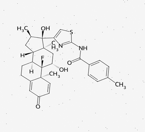 Cc1ccc(C(=O)Nc2nc([C@@]3(O)[C@H](C)C[C@H]4[C@@H]5CCC6=CC(=O)C=C[C@]6(C)[C@@]5(F)[C@@H](O)C[C@@]43C)cs2)cc1